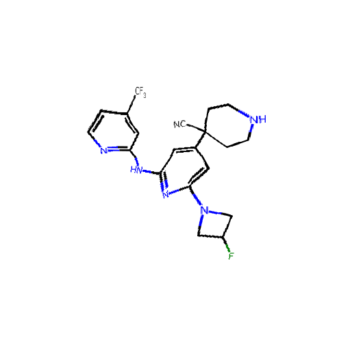 N#CC1(c2cc(Nc3cc(C(F)(F)F)ccn3)nc(N3CC(F)C3)c2)CCNCC1